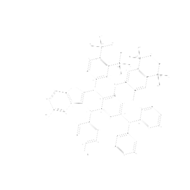 Cc1cc2c(cc1N1c3cc(N(c4ccccc4)c4ccccc4)cc4c3B(c3ccc5c(c31)C(C)(C)CCC5(C)C)c1sc3ccc(C(C)(C)C)cc3c1N4c1ccc(C(C)(C)C)cc1)C(C)(C)CCC2(C)C